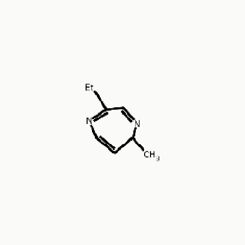 CCC1=NC=CC(C)N=C1